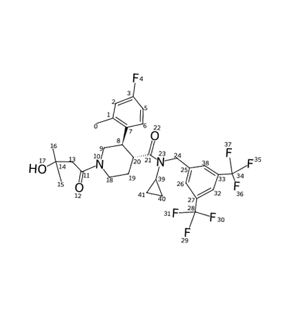 Cc1cc(F)ccc1[C@@H]1CN(C(=O)CC(C)(C)O)CC[C@H]1C(=O)N(Cc1cc(C(F)(F)F)cc(C(F)(F)F)c1)C1CC1